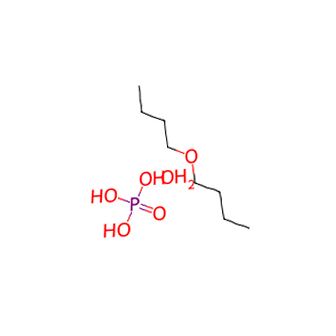 CCCCOCCCC.O.O=P(O)(O)O